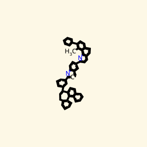 Cc1c(-c2ccccc2)ccc2ccc3ccc(-c4ccc5nc(-c6cccc(C7=CCc8ccccc8-c8c7ccc7ccccc87)c6)ccc5c4)nc3c12